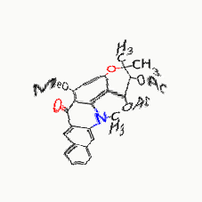 COc1cc2c(c3c1c(=O)c1cc4ccccc4cc1n3C)C(OC(C)=O)C(OC(C)=O)C(C)(C)O2